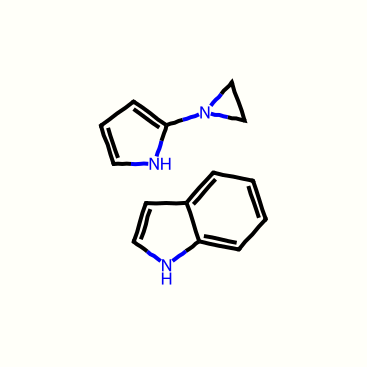 c1c[nH]c(N2CC2)c1.c1ccc2[nH]ccc2c1